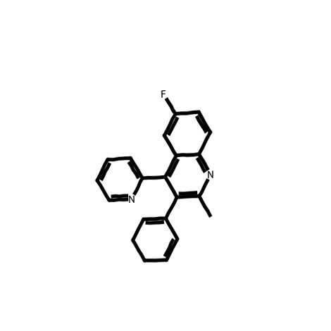 Cc1nc2ccc(F)cc2c(-c2ccccn2)c1C1=CCCC=C1